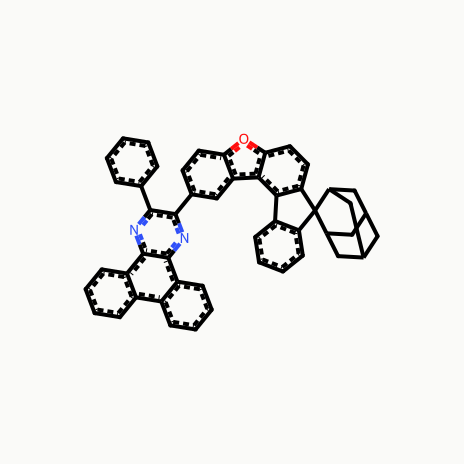 c1ccc(-c2nc3c4ccccc4c4ccccc4c3nc2-c2ccc3oc4ccc5c(c4c3c2)-c2ccccc2C52C3CC4CC(C3)CC2C4)cc1